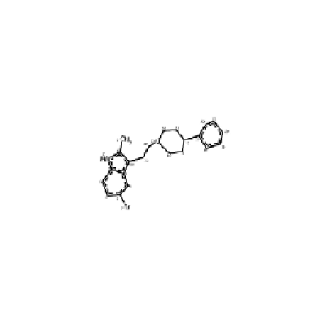 Cc1[nH]c2ccc(Br)cc2c1CCN1CCC(c2ccccc2)CC1